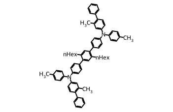 CCCCCCc1cc(-c2ccc(N(c3ccc(C)cc3)c3ccc(-c4ccccc4)c(C)c3)cc2)c(CCCCCC)cc1-c1ccc(N(c2ccc(C)cc2)c2ccc(-c3ccccc3)c(C)c2)cc1